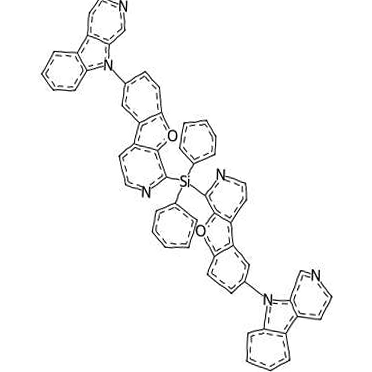 c1ccc([Si](c2ccccc2)(c2nccc3c2oc2ccc(-n4c5ccccc5c5ccncc54)cc23)c2nccc3c2oc2ccc(-n4c5ccccc5c5ccncc54)cc23)cc1